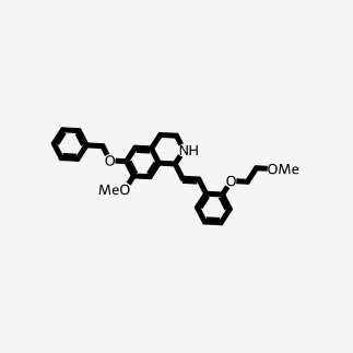 COCCOc1ccccc1C=CC1NCCc2cc(OCc3ccccc3)c(OC)cc21